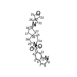 O=S(=O)(c1ccc2cccnc2c1)N1CCC2(CCC(N3CC4(COC4)C3)C2)CC1